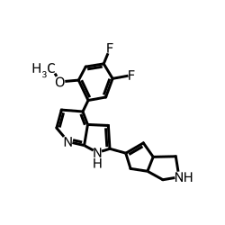 COc1cc(F)c(F)cc1-c1ccnc2[nH]c(C3=CC4CNCC4C3)cc12